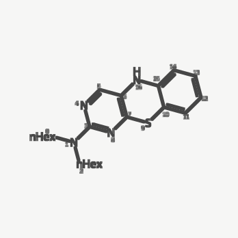 CCCCCCN(CCCCCC)c1ncc2c(n1)Sc1ccccc1N2